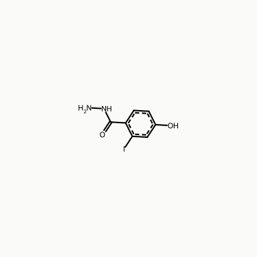 NNC(=O)c1ccc(O)cc1I